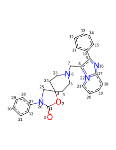 O=C1OC2(CCN(Cc3c(-c4ccccc4)nc4ccccn34)CC2)CN1c1ccccc1